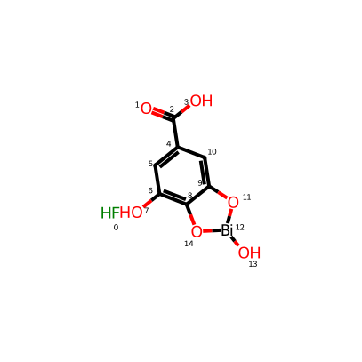 F.O=C(O)c1cc(O)c2c(c1)[O][Bi]([OH])[O]2